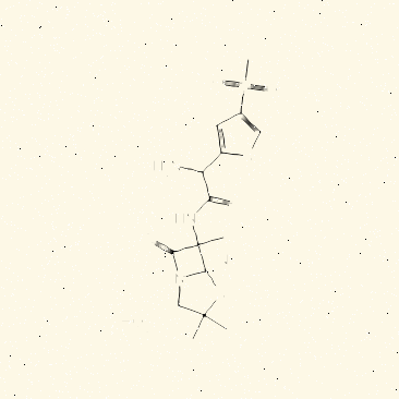 CC1(C)S[C@H]2N(C(=O)C2(C)NC(=O)C(N)c2cc(S(C)(=O)=O)cs2)[C@H]1C(=O)O